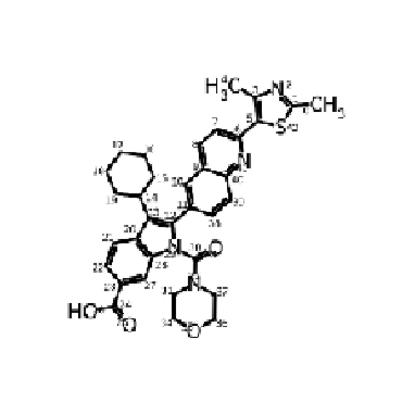 Cc1nc(C)c(-c2ccc3cc(-c4c(C5CCCCC5)c5ccc(C(=O)O)cc5n4C(=O)N4CCOCC4)ccc3n2)s1